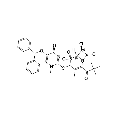 CC1=C(C(=O)C(C)(C)C)N2C(=O)[C@H](Cl)[C@@H]2S(=O)(=O)C1Sc1nc(=O)c(OC(c2ccccc2)c2ccccc2)nn1C